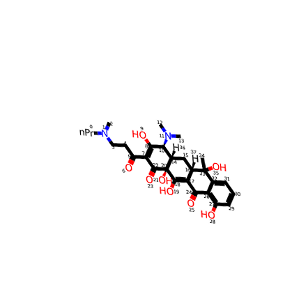 CCCN(C)CCC(=O)C1=C(O)[C@@H](N(C)C)[C@@H]2C[C@H]3C(=C(O)[C@]2(O)C1=O)C(=O)c1c(O)cccc1C3(C)O